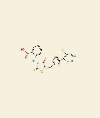 O=C(O)c1ccccc1NN1C(=O)/C(=C\c2ccc(-c3ccc(F)cc3F)o2)SC1=S